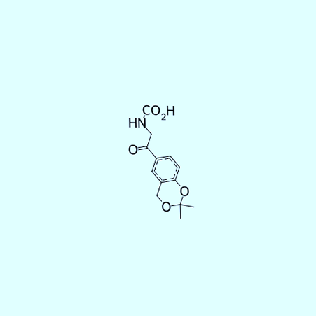 CC1(C)OCc2cc(C(=O)CNC(=O)O)ccc2O1